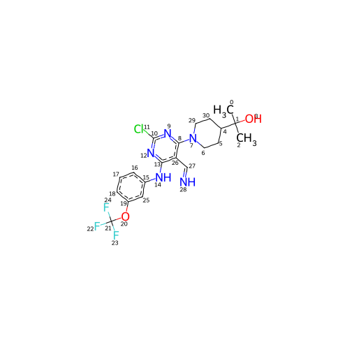 CC(C)(O)C1CCN(c2nc(Cl)nc(Nc3cccc(OC(F)(F)F)c3)c2C=N)CC1